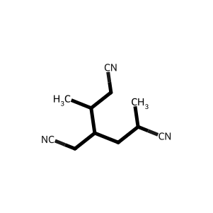 CC(C#N)CC(CC#N)C(C)CC#N